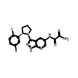 NC(=O)C(=O)Nc1cnc2[nH]nc(N3CCC[C@@H]3c3cc(F)ccc3F)c2c1